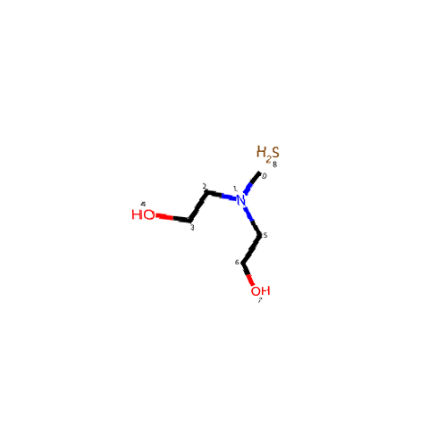 CN(CCO)CCO.S